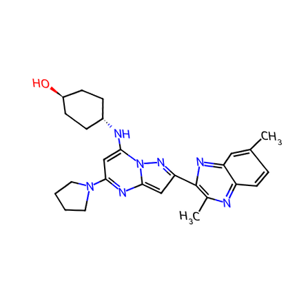 Cc1ccc2nc(C)c(-c3cc4nc(N5CCCC5)cc(N[C@H]5CC[C@H](O)CC5)n4n3)nc2c1